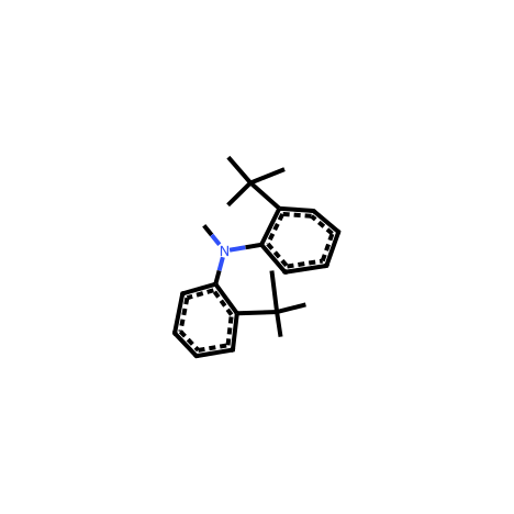 CN(c1ccccc1C(C)(C)C)c1ccccc1C(C)(C)C